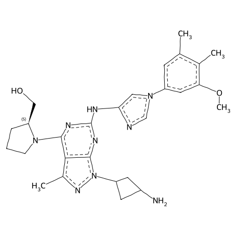 COc1cc(-n2cnc(Nc3nc(N4CCC[C@H]4CO)c4c(C)nn(C5CC(N)C5)c4n3)c2)cc(C)c1C